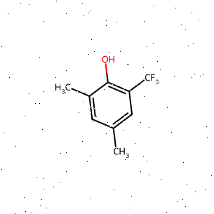 Cc1cc(C)c(O)c(C(F)(F)F)c1